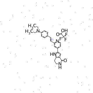 CCN(CC)c1ccc(/C=C/c2cc(-c3cc4c([nH]3)CCNC4=O)ccn2)cc1.O=C(O)C(F)(F)F